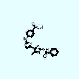 Cc1nc(NC(=O)c2ccccc2)sc1-c1csc(Nc2ccc(C(=O)O)cc2)n1